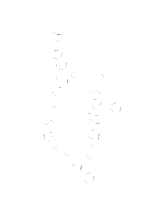 Cc1ncsc1-c1ccc([C@H](C)NC(=O)[C@@H]2CCCN2C(=O)[C@@H](NC(=O)CN2CCN(CCNC(=O)c3ccc(CN4CCN(C[C@]5(C)CCC(c6ccc(Cl)cc6)=C(CN6CCN(c7ccc(C(=O)NS(=O)(=O)c8ccc(N[C@H](CCN9CCCOCC9)CSc9ccccc9)c(S(=O)(=O)C(F)(F)F)c8)cc7)CC6)C5)CC4)nc3)CC2)C(C)(C)C)cc1